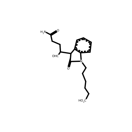 NC(=O)CCC(C=O)C1C(=O)N(CCCCCC(=O)O)c2ccccc21